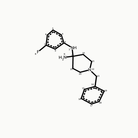 NC1(Nc2cccc(F)c2)CCN(Cc2ccccc2)CC1